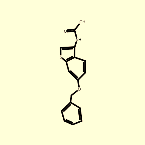 O=C(O)Nc1csc2cc(OCc3ccccc3)ccc12